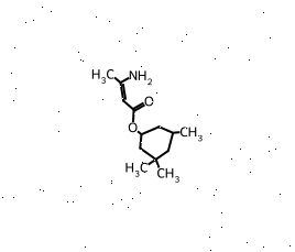 CC(N)=CC(=O)OC1CC(C)CC(C)(C)C1